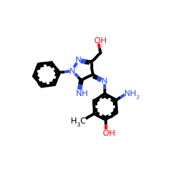 Cc1cc(N=C2C(=N)N(c3ccccc3)N=C2CO)c(N)cc1O